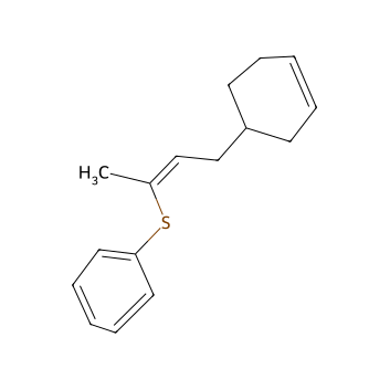 CC(=CCC1CC=CCC1)Sc1ccccc1